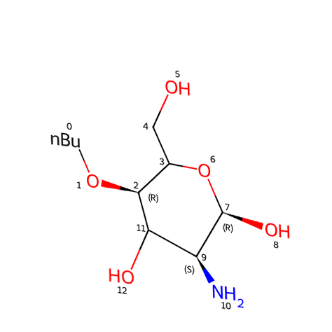 CCCCO[C@H]1C(CO)O[C@@H](O)[C@@H](N)C1O